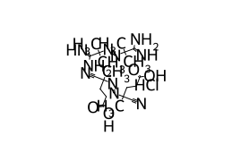 CC(C#N)(CCC(=O)O)N=NC(C)(C#N)CCC(=O)O.CC(C)(N=NC(C)(C)C(=N)N)C(=N)N.Cl